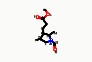 COC(=O)CCC1C(C)CN(C=O)C1C